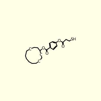 O=C(CCS)Oc1ccc(C(=O)OC2CCCCCCCCCCCC2)cc1